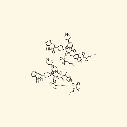 CCCCC1(C(=O)OCN(C(=O)N2CCC(c3cc4ccccc4[nH]c3=O)CC2)[C@H](Cc2cc(C)c3c(cnn3C(=O)C3(CCCC)CC3)c2)C(=O)N2CCN(C3CCN(C)CC3)CC2)CC1.CCCCC1(C(=O)OCN(C(=O)N2CCC(c3cc4ccccc4[nH]c3=O)CC2)[C@H](Cc2cc(C)c3nn(COC(=O)C4(CCCC)CC4)cc3c2)C(=O)N2CCN(C3CCN(C)CC3)CC2)CC1